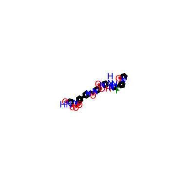 O=C1CCC(n2c(=O)oc3cc(C4CCN(CC(=O)N5CCC(O)(C(=O)N6CCC(Nc7ncc(F)c(-c8cccc(-n9ccccc9=O)c8)n7)CC6)CC5)CC4)ccc32)C(=O)N1